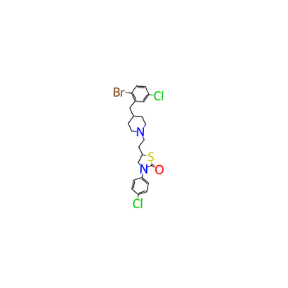 O=C1SC(CCN2CCC(Cc3cc(Cl)ccc3Br)CC2)CN1c1ccc(Cl)cc1